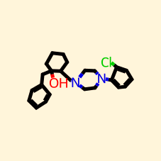 OC1(Cc2ccccc2)CCCCC1CN1CCN(c2ccccc2Cl)CC1